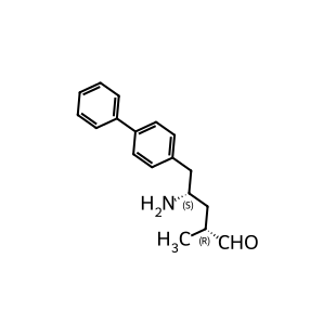 C[C@@H](C=O)C[C@H](N)Cc1ccc(-c2ccccc2)cc1